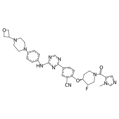 Cn1cncc1C(=O)N1CC[C@H](Oc2ccc(-c3ncnc(Nc4ccc(N5CCN(C6COC6)CC5)cc4)n3)cc2C#N)[C@@H](F)C1